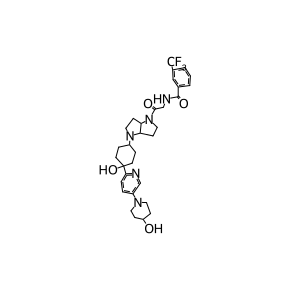 O=C(NCC(=O)N1CCC2C1CCN2C1CCC(O)(c2ccc(N3CCC(O)CC3)cn2)CC1)c1cccc(C(F)(F)F)c1